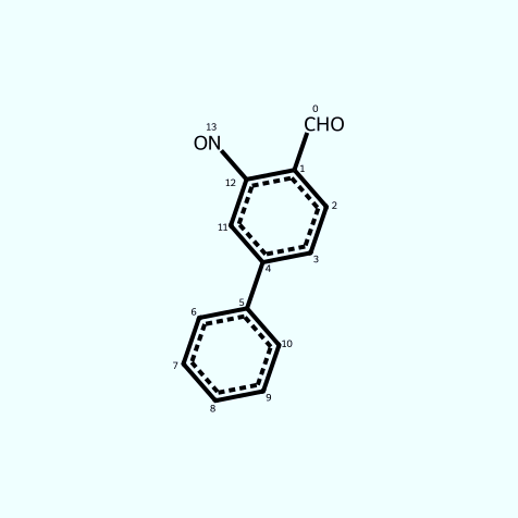 O=Cc1ccc(-c2ccccc2)cc1N=O